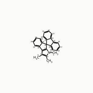 Cc1c2c(n(C)c1C)C1(c3ccccc3-c3ccccc31)c1ccccc1-2